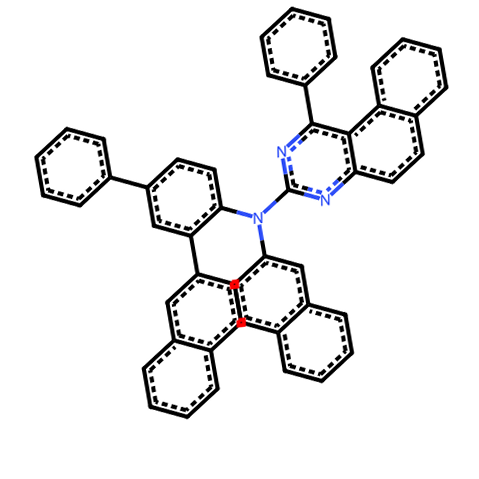 c1ccc(-c2ccc(N(c3ccc4ccccc4c3)c3nc(-c4ccccc4)c4c(ccc5ccccc54)n3)c(-c3ccc4ccccc4c3)c2)cc1